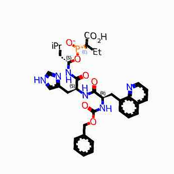 CC/C(C(=O)O)=[P+](/[O-])O[C@@H](CC(C)C)NC(=O)[C@H](Cc1c[nH]cn1)NC(=O)[C@@H](Cc1cccc2cccnc12)NC(=O)OCc1ccccc1